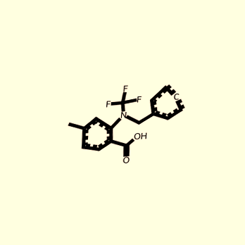 Cc1ccc(C(=O)O)c(N(Cc2ccccc2)C(F)(F)F)c1